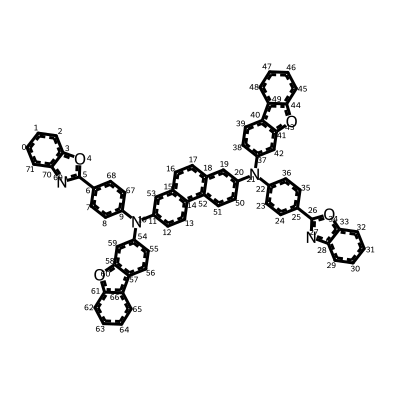 c1ccc2oc(-c3ccc(N(c4ccc5c(ccc6cc(N(c7ccc(-c8nc9ccccc9o8)cc7)c7ccc8c(c7)oc7ccccc78)ccc65)c4)c4ccc5c(c4)oc4ccccc45)cc3)nc2c1